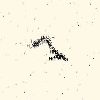 CN(Cc1cnc2nc(N)nc(N)c2n1)c1ccc(C(=O)NC(CCC(=O)NCCOCCOCCOCCNC(=O)Cn2nc3c(c2-c2ccc(O)cc2)C(=O)c2c(NC(=O)NN4CCOCC4)cccc2-3)C(=O)O)cc1